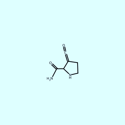 NC(=O)C1NCCC1=C=O